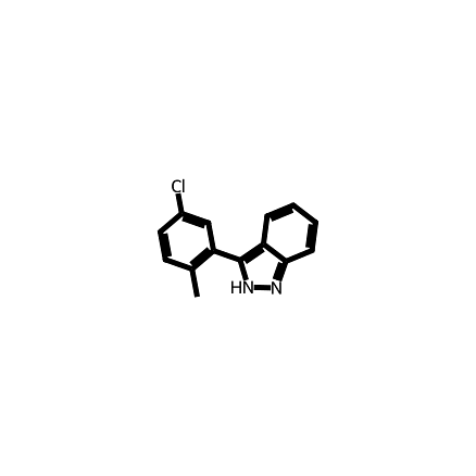 Cc1ccc(Cl)cc1-c1[nH]nc2ccccc12